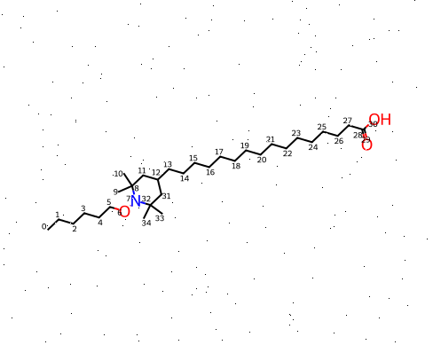 CCCCCCON1C(C)(C)CC(CCCCCCCCCCCCCCCC(=O)O)CC1(C)C